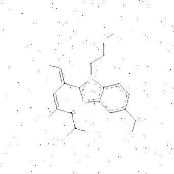 C/C=C(\C=C(\C)C(=O)C(C)C)c1nc2cc(CN)ccc2n1CCOC